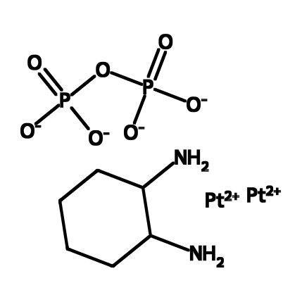 NC1CCCCC1N.O=P([O-])([O-])OP(=O)([O-])[O-].[Pt+2].[Pt+2]